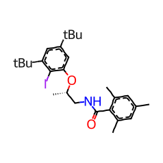 Cc1cc(C)c(C(=O)NC[C@H](C)Oc2cc(C(C)(C)C)cc(C(C)(C)C)c2I)c(C)c1